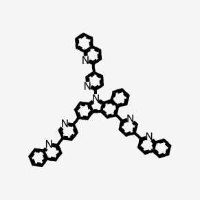 c1ccc2nc(-c3ccc(-c4ccc5c(c4)c4cc(-c6ccc(-c7ccc8ccccc8n7)cn6)c6ccccc6c4n5-c4ccc(-c5ccc6ccccc6n5)cn4)nc3)ccc2c1